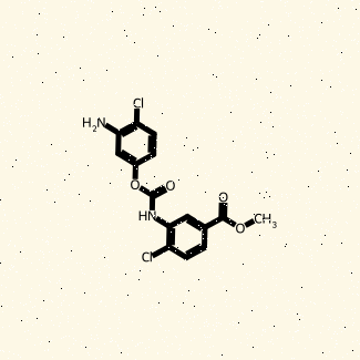 COC(=O)c1ccc(Cl)c(NC(=O)Oc2ccc(Cl)c(N)c2)c1